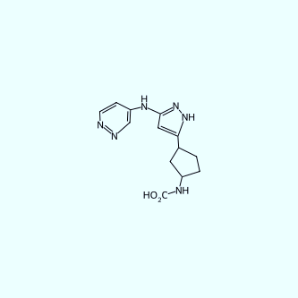 O=C(O)NC1CCC(c2cc(Nc3ccnnc3)n[nH]2)C1